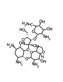 NCC1O[C@H](O[C@H]2[C@@H](CO)OC[C@@]2(O)OC2C(O)[C@H](N)CC(N)[C@H]2O[C@H]2OC3CCO[C@H]3C(O)C2N)C(N)C(O)[C@@H]1O